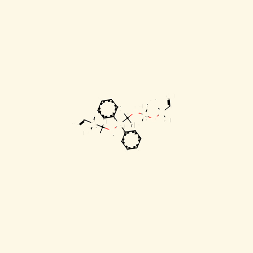 C=C[Si](C)(C)O[Si](C)(C)OC(C)(C)[Si](OC(C)(C)[Si](C)(C)C=C)(c1ccccc1)c1ccccc1